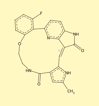 Cc1cc2c([nH]1)/C=C1\C(=O)Nc3ccc(nc31)-c1c(F)cccc1OCCNC2=O